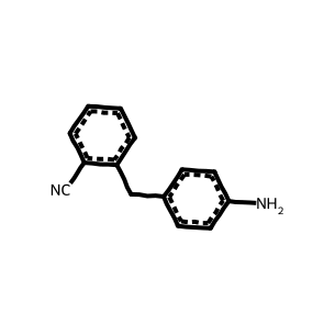 N#Cc1ccccc1Cc1ccc(N)cc1